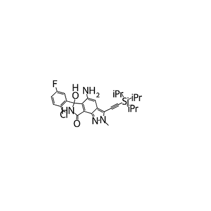 CC(C)[Si](C#Cc1c2cc(N)c3c(c2nn1C)C(=O)NC3(O)c1cc(F)ccc1Cl)(C(C)C)C(C)C